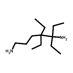 CCC(N)(CC)C(CC)(CC)CCCN